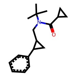 CC(C)(C)N(CC1CC1c1ccccc1)C(=O)C1CC1